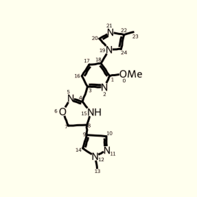 COc1nc(C2=NOCC(c3cnn(C)c3)N2)ccc1-n1cnc(C)c1